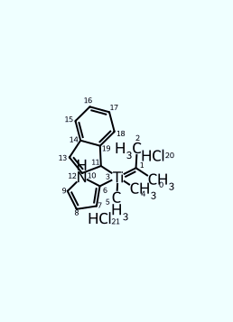 C[C](C)=[Ti]([CH3])([CH3])([c]1ccc[nH]1)[CH]1C=Cc2ccccc21.Cl.Cl